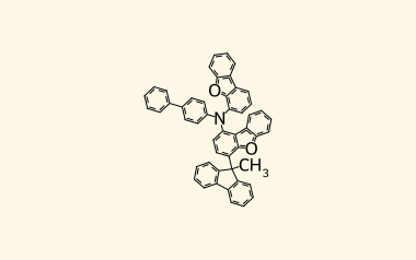 CC1(c2ccc(N(c3ccc(-c4ccccc4)cc3)c3cccc4c3oc3ccccc34)c3c2oc2ccccc23)c2ccccc2-c2ccccc21